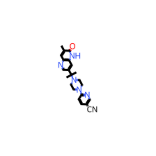 Cc1cc2ncc(C(C)(C)N3CCN(c4ccc(C#N)cn4)CC3)cc2[nH]c1=O